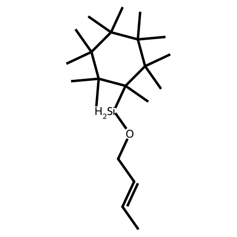 CC=CCO[SiH2]C1(C)C(C)(C)C(C)(C)C(C)(C)C(C)(C)C1(C)C